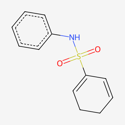 O=S(=O)(Nc1ccccc1)C1=CCCC=C1